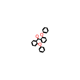 O=C(c1ccccc1Oc1ccccc1)c1ccccc1Oc1ccccc1